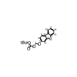 CC(C)(C)OC(=O)OCOc1ccc2c(c1)[I+]c1ccccc1-2